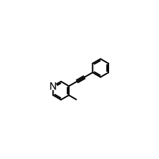 Cc1ccncc1C#Cc1ccccc1